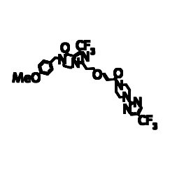 COc1ccc(CN2CCn3c(CCOC=CC(=O)N4CCN(c5ncc(C(F)(F)F)cn5)CC4)nc(C(F)(F)F)c3C2=O)cc1